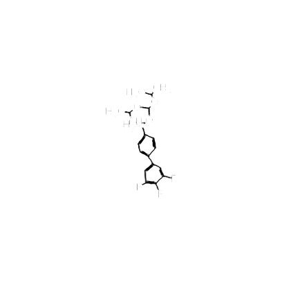 CC(C)OC(O[SiH2]c1ccc(-c2cc(F)c(F)c(F)c2)cc1)OC(C)C